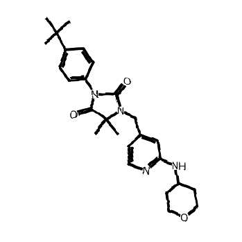 CC(C)(C)c1ccc(N2C(=O)N(Cc3ccnc(NC4CCOCC4)c3)C(C)(C)C2=O)cc1